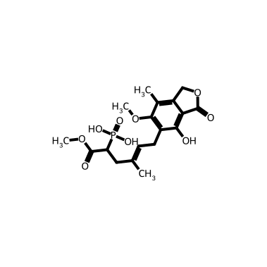 COC(=O)C(C/C(C)=C/Cc1c(O)c2c(c(C)c1OC)COC2=O)P(=O)(O)O